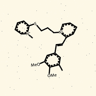 COc1cc(/C=C/c2cccc[n+]2CCCSc2cccc[n+]2C)cc(C)c1OC